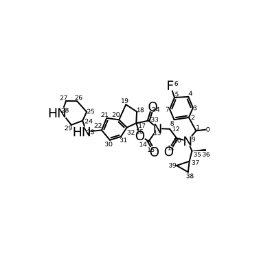 CC(c1ccc(F)cc1)N(C(=O)CN1C(=O)OC2(CCc3cc(NC4CCCNC4)ccc32)C1=O)[C@@H](C)C1CC1